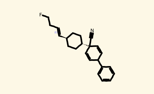 N#CC1([C@H]2CC[C@H](/C=C/CCF)CC2)C=CC(c2ccccc2)C=C1